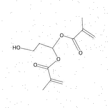 C=C(C)C(=O)OC(CCO)OC(=O)C(=C)C